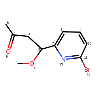 COC(CC(C)=O)c1cccc(Br)n1